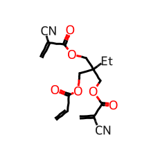 C=CC(=O)OCC(CC)(COC(=O)C(=C)C#N)COC(=O)C(=C)C#N